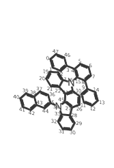 c1ccc(-c2cccc(-c3ccccc3)c2-n2c3ccccc3c3c2ccc2c4ccccc4n(-c4ccc5ccccc5c4)c23)cc1